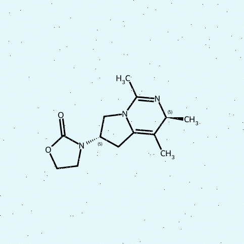 CC1=N[C@@H](C)C(C)=C2C[C@H](N3CCOC3=O)CN12